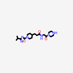 CC(C)c1noc(N2CCC(CCC(=O)NCC(=O)N3CCNCC3)CC2)n1